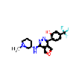 CN1CCC[C@@H](Nc2nnc(-c3ccc(C(F)(F)F)cc3O)c3cocc23)C1